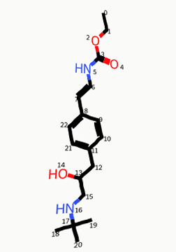 CCOC(=O)N/C=C/c1ccc(CC(O)CNC(C)(C)C)cc1